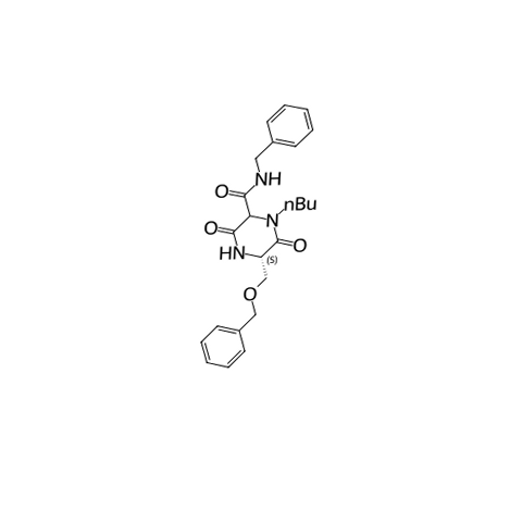 CCCCN1C(=O)[C@H](COCc2ccccc2)NC(=O)C1C(=O)NCc1ccccc1